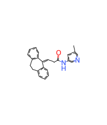 Cc1cncc(NC(=O)CC=C2c3ccccc3CCc3ccccc32)c1